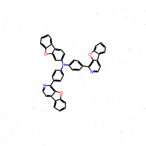 c1ccc2c(c1)oc1cc(N(c3ccc(-c4nccc5c4oc4ccccc45)cc3)c3ccc(-c4nccc5c4oc4ccccc45)cc3)ccc12